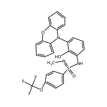 CN=S(=O)(Nc1cccc(N2c3ccccc3Oc3ccccc32)c1O)c1ccc(OC(F)(F)F)cc1